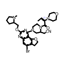 C/C=C(\C(=O)N1CCN(c2nc(OCC3CCCN3C)nc3cc(Br)c4c(c23)OCC4)CC1CC#N)N1CCOCC1